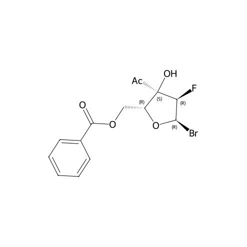 CC(=O)[C@@]1(O)[C@@H](COC(=O)c2ccccc2)O[C@H](Br)[C@@H]1F